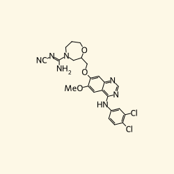 COc1cc2c(Nc3ccc(Cl)c(Cl)c3)ncnc2cc1OCC1CN(/C(N)=N/C#N)CCCO1